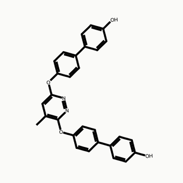 Cc1cc(Oc2ccc(-c3ccc(O)cc3)cc2)nnc1Oc1ccc(-c2ccc(O)cc2)cc1